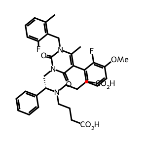 COc1cccc(-c2c(C)n(Cc3c(C)cccc3F)c(=O)n(C[C@@H](c3ccccc3)N(CCCC(=O)O)CCCC(=O)O)c2=O)c1F